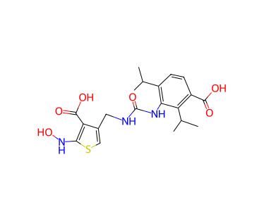 CC(C)c1ccc(C(=O)O)c(C(C)C)c1NC(=O)NCc1csc(NO)c1C(=O)O